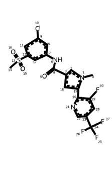 Cn1cc(C(=O)Nc2cc(Cl)cc(S(C)(=O)=O)c2)cc1-c1ncc(C(F)(F)F)cc1F